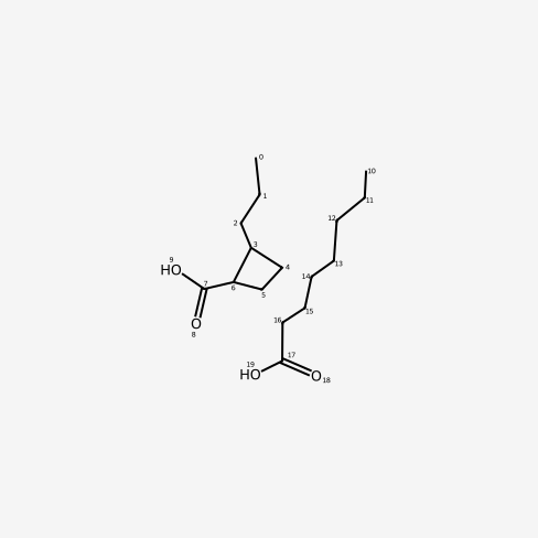 CCCC1CCC1C(=O)O.CCCCCCCC(=O)O